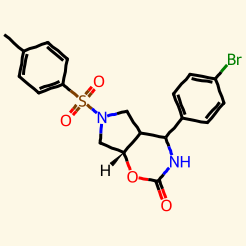 Cc1ccc(S(=O)(=O)N2CC3C(c4ccc(Br)cc4)NC(=O)O[C@@H]3C2)cc1